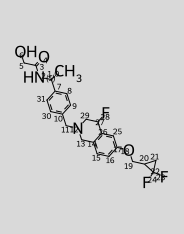 C[C@H](NC(=O)CO)c1ccc(CN2Cc3ccc(OCC4CC4(F)F)cc3C(F)C2)cc1